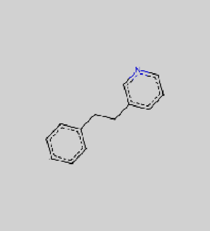 [c]1ccc(CCc2cccnc2)cc1